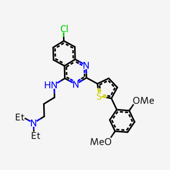 CCN(CC)CCCNc1nc(-c2ccc(-c3cc(OC)ccc3OC)s2)nc2cc(Cl)ccc12